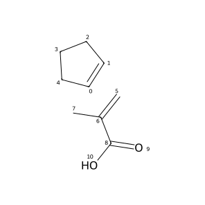 C1=CCCC1.C=C(C)C(=O)O